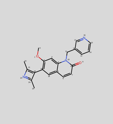 COc1cc2c(ccc(=O)n2Cc2cccnc2)cc1C1=C(C)N=C1C